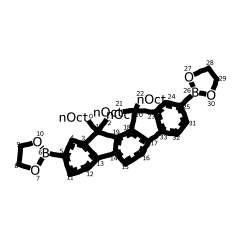 CCCCCCCCC1(CCCCCCCC)c2cc(B3OCCO3)ccc2-c2ccc3c(c21)C(CCCCCCCC)(CCCCCCCC)c1cc(B2OCCO2)ccc1-3